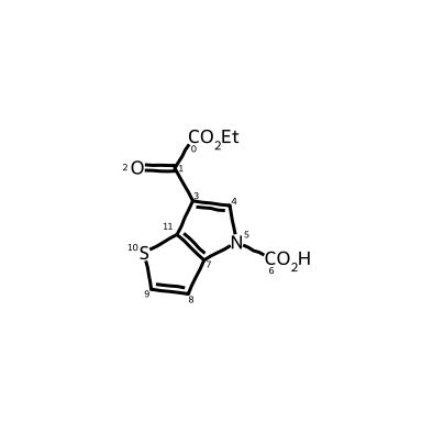 CCOC(=O)C(=O)c1cn(C(=O)O)c2ccsc12